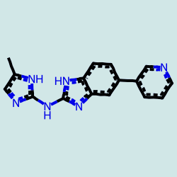 Cc1cnc(Nc2nc3cc(-c4cccnc4)ccc3[nH]2)[nH]1